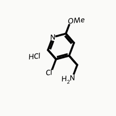 COc1cc(CN)c(Cl)cn1.Cl